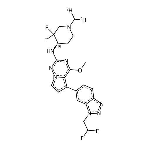 [2H]C([2H])N1CC[C@@H](Nc2nc(OC)c3c(-c4ccc5nnn(CC(F)F)c5c4)ccn3n2)C(F)(F)C1